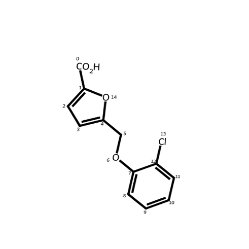 O=C(O)c1ccc(COc2ccccc2Cl)o1